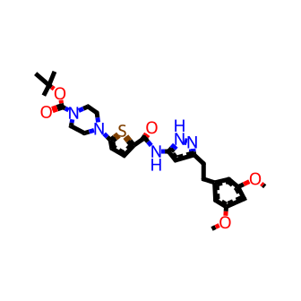 COc1cc(CCc2cc(NC(=O)c3ccc(N4CCN(C(=O)OC(C)(C)C)CC4)s3)[nH]n2)cc(OC)c1